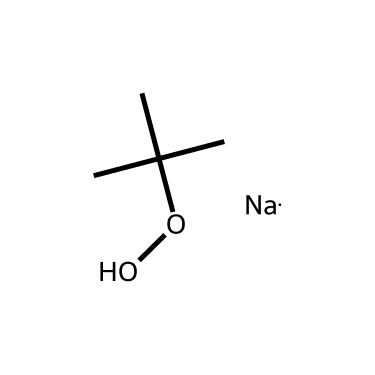 CC(C)(C)OO.[Na]